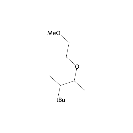 COCCOC(C)C(C)C(C)(C)C